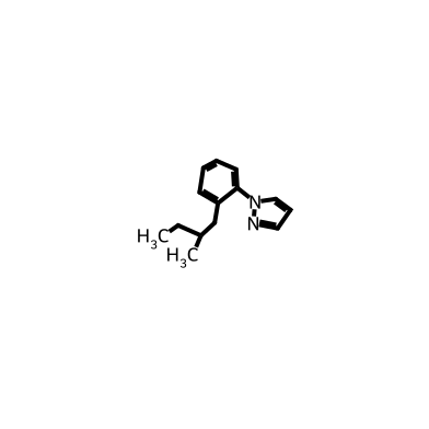 CCC(C)Cc1ccccc1-n1cccn1